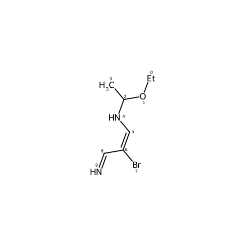 CCOC(C)N/C=C(/Br)C=N